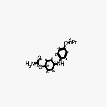 CCCOc1ccc(NC2CCC(OC(N)=O)CC2)cc1